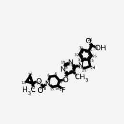 Cc1c(OC2CCN(C(=O)OC3(C)CC3)CC2F)ncnc1N1CCc2cc(C(=O)O)ccc21